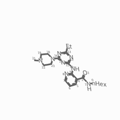 CCCCCCNC(=O)c1cccnc1Nc1nc(CC)nc(N2CCN(C)CC2)n1